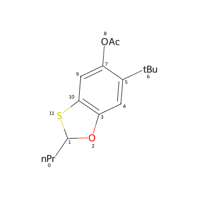 CCCC1Oc2cc(C(C)(C)C)c(OC(C)=O)cc2S1